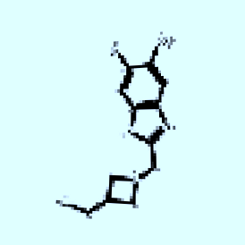 O=C(O)c1cc2nc(CN3CC(CO)C3)sc2cc1Br